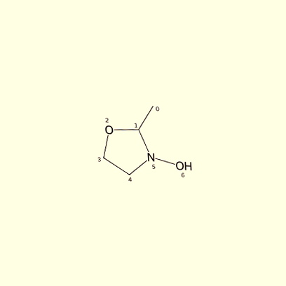 CC1OCCN1O